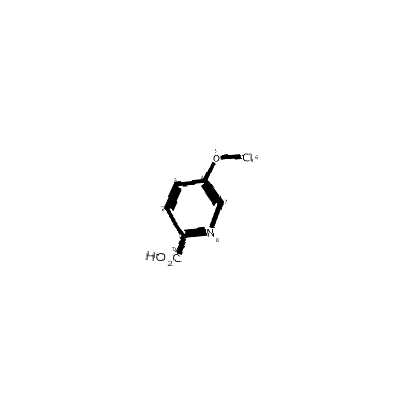 O=C(O)c1ccc(OCl)cn1